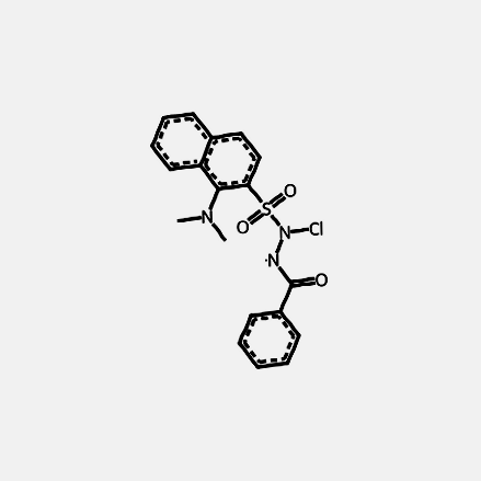 CN(C)c1c(S(=O)(=O)N(Cl)[N]C(=O)c2ccccc2)ccc2ccccc12